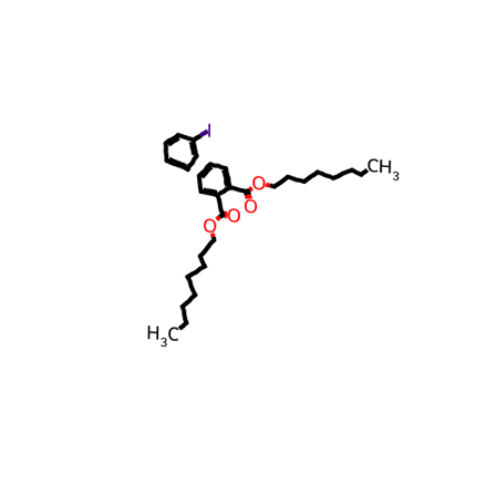 CCCCCCCCOC(=O)c1ccccc1C(=O)OCCCCCCCC.Ic1ccccc1